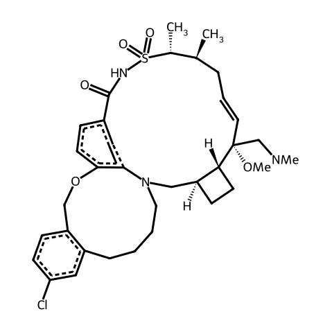 CNC[C@]1(OC)/C=C/C[C@H](C)[C@@H](C)S(=O)(=O)NC(=O)c2ccc3c(c2)N(CCCCc2cc(Cl)ccc2CO3)C[C@@H]2CC[C@H]21